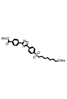 COCCCCCCCS(=O)(=O)c1ccc(-c2nc(-c3ccc(C(=O)OC)cc3)no2)cc1